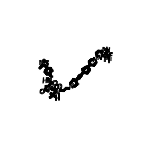 Cc1ncsc1-c1ccc(CNC(=O)C2CC(=O)CN2C(=O)C(NC(=O)CCCN2CCC(C#Cc3ccc(C4CCN(C5=Nn6c(nnc6C(F)(F)F)CC5)CC4)cc3)CC2)C(C)(C)C)cc1